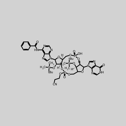 CC(C)(C)[Si](C)(C)O[C@@H]1C2COP(=O)(OCCC#N)O[C@@H]3[C@H](COP(=O)(O)O[C@H]1C(n1cnc4c(=O)[nH]cnc41)O2)OC(n1cnc2c(NC(=O)c4ccccc4)ncnc21)[C@@H]3O[Si](C)(C)C(C)(C)C